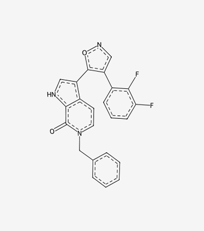 O=c1c2[nH]cc(-c3oncc3-c3cccc(F)c3F)c2ccn1Cc1ccccc1